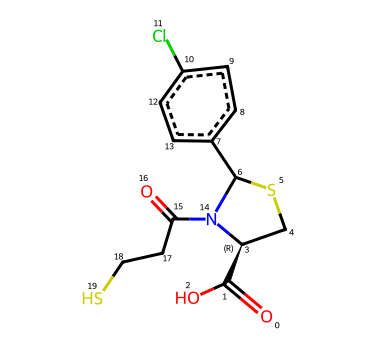 O=C(O)[C@@H]1CSC(c2ccc(Cl)cc2)N1C(=O)CCS